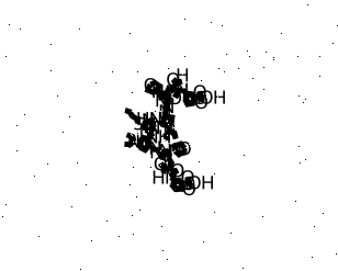 CCCCSc1nc(Nc2cc(N(CC)CC)ccc2/N=N/c2nc(N3CCOCC3)c(/C=C(/C(C)=O)C(=O)Nc3cccc(S(=O)(=O)O)c3)s2)nc(Nc2cc(N(CC)CC)ccc2/N=N/c2nc(N3CCOCC3)c(/C=C(\C(C)=O)C(=O)Nc3cccc(S(=O)(=O)O)c3)s2)n1